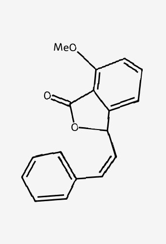 COc1cccc2c1C(=O)OC2/C=C\c1ccccc1